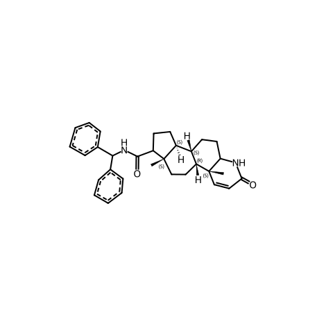 C[C@]12C=CC(=O)NC1CC[C@@H]1[C@H]2CC[C@]2(C)C(C(=O)NC(c3ccccc3)c3ccccc3)CC[C@@H]12